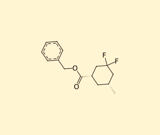 C[C@@H]1C[C@H](C(=O)OCc2ccccc2)CC(F)(F)C1